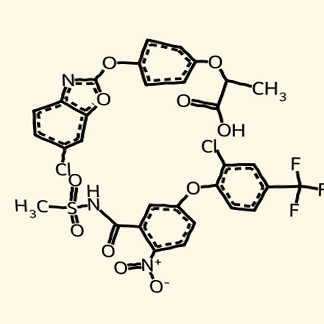 CC(Oc1ccc(Oc2nc3ccc(Cl)cc3o2)cc1)C(=O)O.CS(=O)(=O)NC(=O)c1cc(Oc2ccc(C(F)(F)F)cc2Cl)ccc1[N+](=O)[O-]